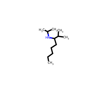 CCCCCC(NC(C)C)C(C)C